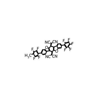 Cc1c(F)c(F)c(-c2ccc3c(c2)oc2c(=C(C#N)C#N)c4c(oc5cc(-c6c(F)c(F)c(F)c(F)c6F)ccc54)c(=C(C#N)C#N)c23)c(F)c1F